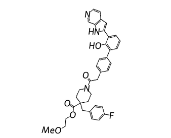 COCCOC(=O)C1(Cc2ccc(F)cc2)CCN(C(=O)Cc2ccc(-c3cccc(-c4cc5ccncc5[nH]4)c3O)cc2)CC1